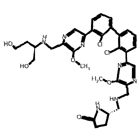 COc1nc(-c2cccc(-c3cccc(-c4cnc(CN[C@@H](CO)CCO)c(OC)n4)c3Cl)c2Cl)cnc1CNC[C@@H]1CCC(=O)N1